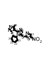 Cc1nnsc1-c1nnc(Sc2ncc([N+](=O)[O-])s2)n1-c1ccccc1